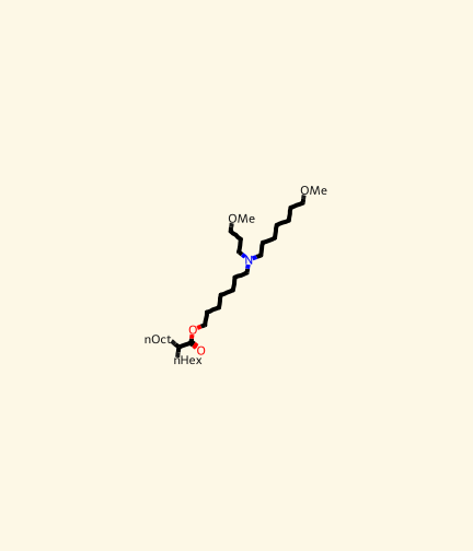 CCCCCCCCC(CCCCCC)C(=O)OCCCCCCCN(CCCCCCCOC)CCCOC